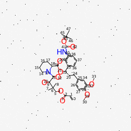 C=CC(=O)OCC(C)(C)C(=O)C(=O)N1CCCCC1C(=O)OC(CCc1ccc(OC)c(OC)c1)c1cccc(NC(=O)OC(C)(C)C)c1